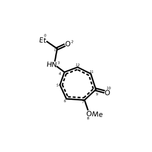 CCC(=O)Nc1ccc(OC)c(=O)cc1